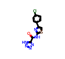 O=C(Nc1nc(-c2ccc(Cl)cc2)cs1)c1nnn[nH]1